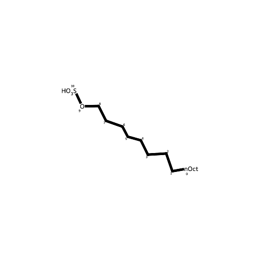 CCCCCCCCCCCCCCCCOS(=O)(=O)O